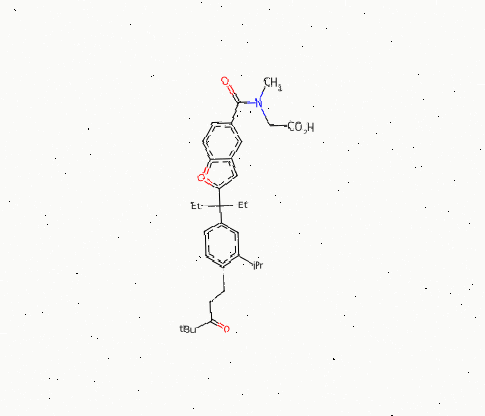 CCC(CC)(c1ccc(CCC(=O)C(C)(C)C)c(C(C)C)c1)c1cc2cc(C(=O)N(C)CC(=O)O)ccc2o1